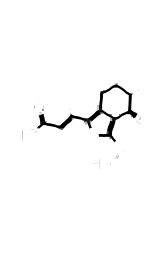 CSc1sc(C=CC(=O)O)c2c1C(=O)CCC2